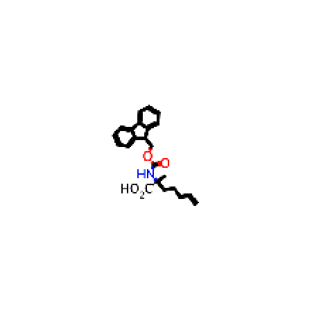 C=CCCC[C@](C)(NC(=O)OCC1c2ccccc2-c2ccccc21)C(=O)O